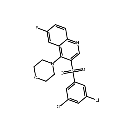 O=S(=O)(c1cc(Cl)cc(Cl)c1)c1cnc2ccc(F)cc2c1N1CCOCC1